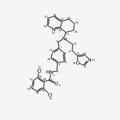 O=C(NCc1ccc(CN(CCc2cnco2)C2CCCc3cccnc32)cc1)c1c(Cl)cncc1Cl